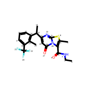 CCNC(=O)c1c(C)sc2nc(C(C)c3cccc(C(F)(F)F)c3C)cc(=O)n12